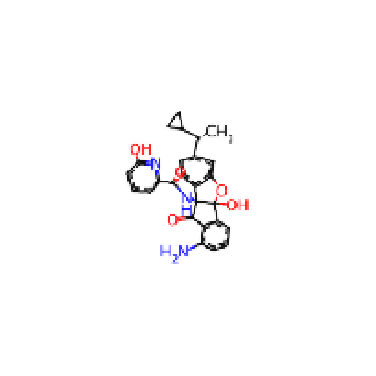 C[C@H](c1ccc2c(c1)O[C@]1(O)c3cccc(N)c3C(=O)[C@]21NC(=O)c1cccc(O)n1)C1CC1